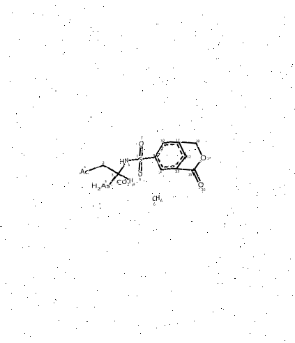 C.CC(=O)CC([AsH2])(NS(=O)(=O)c1cc2cc(c1)C(=O)OC2)C(=O)O